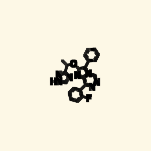 CC(Oc1nc2c(-c3ccccc3F)nncn2c1-c1ccccc1)c1nc[nH]n1